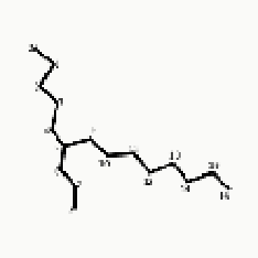 [CH2]CCCCC(CCC)CCCCCCCC